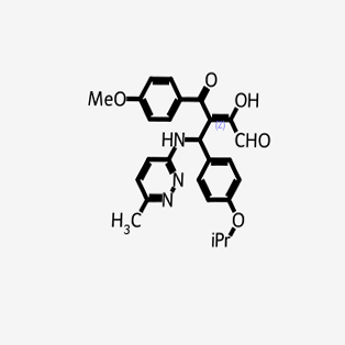 COc1ccc(C(=O)/C(=C(\O)C=O)C(Nc2ccc(C)nn2)c2ccc(OC(C)C)cc2)cc1